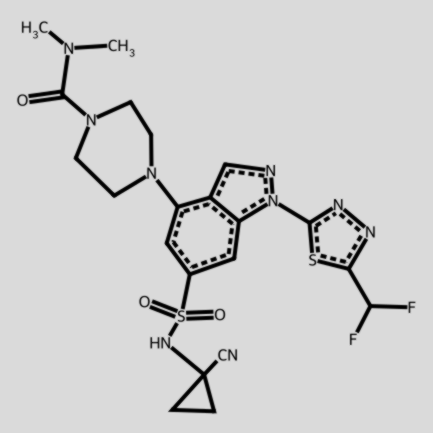 CN(C)C(=O)N1CCN(c2cc(S(=O)(=O)NC3(C#N)CC3)cc3c2cnn3-c2nnc(C(F)F)s2)CC1